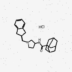 Cl.O=C(NC1CCN(CC2Cc3ccccc3C2)C1)C12CC3CC(CC(C3)C1)C2